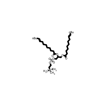 CCCCC=CCCCCCCCC(=O)OCC(COP(=O)([O-])OCC[N+](C)(C)C)OC(=O)CCCCCCCC=CCCCC